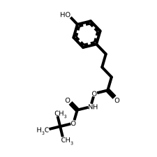 CC(C)(C)OC(=O)NOC(=O)CCCc1ccc(O)cc1